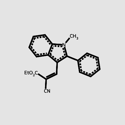 CCOC(=O)/C(C#N)=C\c1c(-c2ccccc2)n(C)c2ccccc12